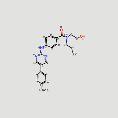 COc1ccc(-c2cnc(Nc3ccc(C(=O)N(CCO)CCC(C)C)cc3)nc2)cc1